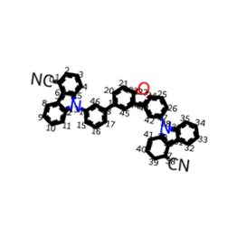 N#Cc1cccc2c1c1ccccc1n2-c1cccc(-c2ccc3oc4ccc(-n5c6c(c7ccccc75)C(C#N)CC=C6)cc4c3c2)c1